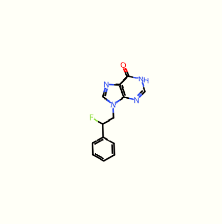 O=c1[nH]cnc2c1ncn2CC(F)c1ccccc1